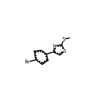 CSc1nc(-c2ccc(Br)cc2)cs1